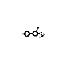 Cc1ccc(-c2ccc(OC(F)(F)F)c(F)c2)cc1